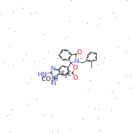 Cc1ccccc1CN1C(=O)c2ccccc2C1(OC(=O)C(F)(F)F)c1ccc2[nH]c(NC(=O)O)nc2c1